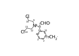 [CH2]c1cccc(C([C]=O)N(CCCl)CCCl)c1